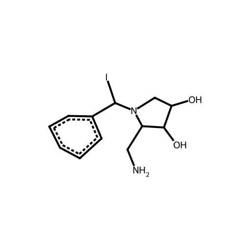 NCC1C(O)C(O)CN1C(I)c1ccccc1